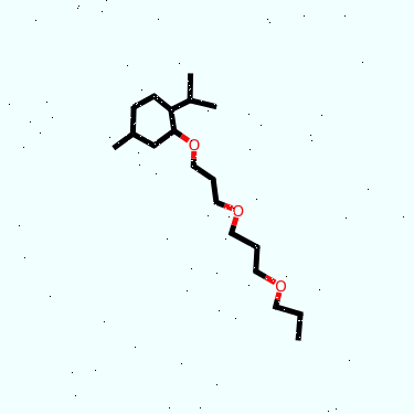 CCCOCCCOCCCOC1CC(C)CCC1C(C)C